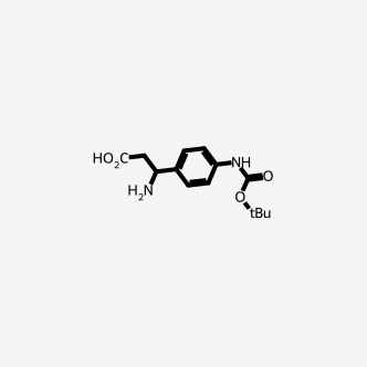 CC(C)(C)OC(=O)Nc1ccc(C(N)CC(=O)O)cc1